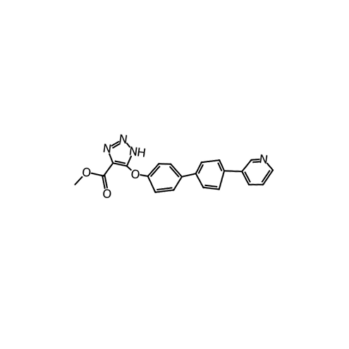 COC(=O)c1nn[nH]c1Oc1ccc(-c2ccc(-c3cccnc3)cc2)cc1